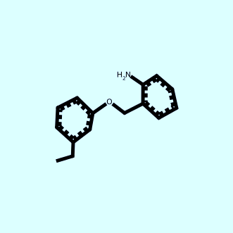 CCc1cccc(OCc2ccccc2N)c1